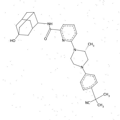 C[C@@H]1CN(c2ccc(C(C)(C)C#N)cc2)CCN1c1cccc(C(=O)NC2C3CC4CC2CC(O)(C4)C3)n1